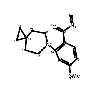 C=NC(=O)c1ccc(SC)cc1N1CCC2(CC1)CC2